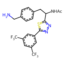 CC(=O)NC(Cc1ccc(CN)cc1)c1nnc(-c2cc(C(F)(F)F)cc(C(F)(F)F)c2)s1